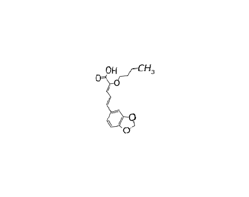 CCCCOC(=CC=Cc1ccc2c(c1)OCO2)C(=O)O